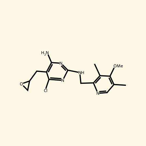 COc1c(C)cnc(CNc2nc(N)c(CC3CO3)c(Cl)n2)c1C